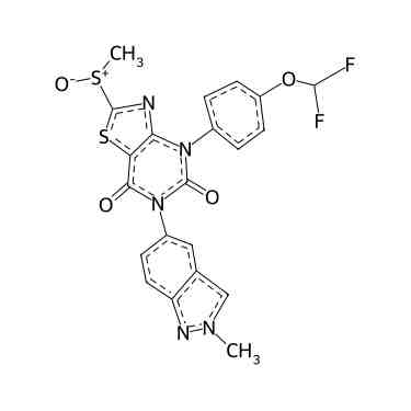 Cn1cc2cc(-n3c(=O)c4sc([S+](C)[O-])nc4n(-c4ccc(OC(F)F)cc4)c3=O)ccc2n1